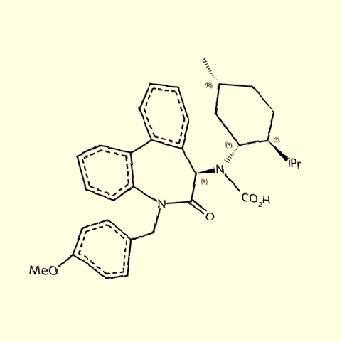 COc1ccc(CN2C(=O)[C@H](N(C(=O)O)[C@@H]3C[C@H](C)CC[C@H]3C(C)C)c3ccccc3-c3ccccc32)cc1